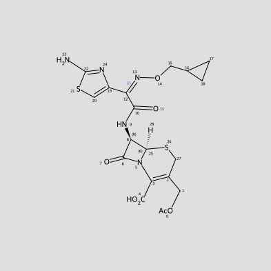 CC(=O)OCC1=C(C(=O)O)N2C(=O)[C@@H](NC(=O)/C(=N\OCC3CC3)c3csc(N)n3)[C@H]2SC1